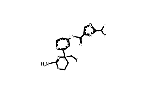 NC1=N[C@](CF)(c2cc(NC(=O)c3coc(C(F)F)n3)ccn2)CCS1